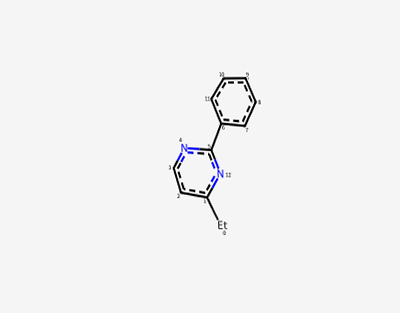 CCc1ccnc(-c2cc[c]cc2)n1